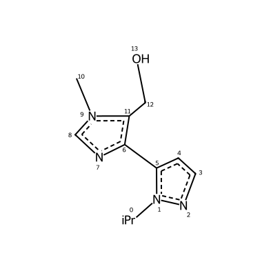 CC(C)n1nccc1-c1ncn(C)c1CO